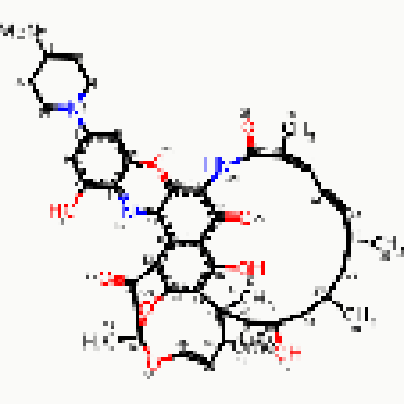 CNC1CCN(c2cc(O)c3nc4c5c6c7c8c(O)c5c(=O)c(c-4oc3c2)NC(=O)/C(C)=C\C=C\[C@H](C)C[C@@H](C)C[C@@H](O)[C@H](OC(C)=O)[C@]8(C)[C@@H](OC)/C=C/O[C@@](C)(O7)C6=O)CC1